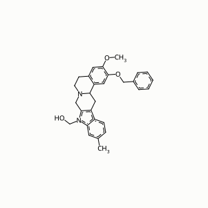 COc1cc2c(cc1OCc1ccccc1)C1Cc3c(n(CO)c4cc(C)ccc34)CN1CC2